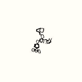 CS(=O)(=O)c1ccc(Oc2cnc(Cc3nccs3)c(OCC3CCCO3)c2)cc1